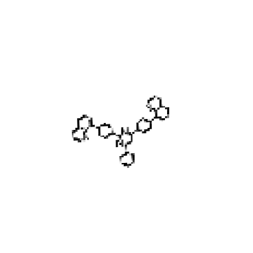 c1ccc(-c2cc(-c3ccc(-c4cccc5cccnc45)cc3)nc(-c3ccc(-c4cccc5cccnc45)cc3)n2)cc1